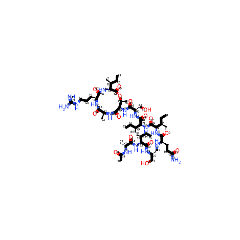 CC[C@@H](C)[C@@H](NC(=O)[C@@H](CCC(N)=O)NC[C@H](CO)NC(=O)[C@@H](NC(=O)[C@@H](C)NC(C)=O)[C@@H](C)CC)C(=O)N[C@H](C(=O)N[C@@H](CO)C(=O)N[C@H]1C(=O)N[C@@H](C)C(=O)N[C@@H](CCCNC(=N)N)C(=O)N[C@@H]([C@@H](C)CC)C(=O)O[C@H]1C)[C@@H](C)CC